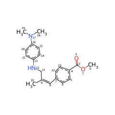 COC(=O)c1ccc(C=C(C)CNc2ccc(N(C)C)cc2)cc1